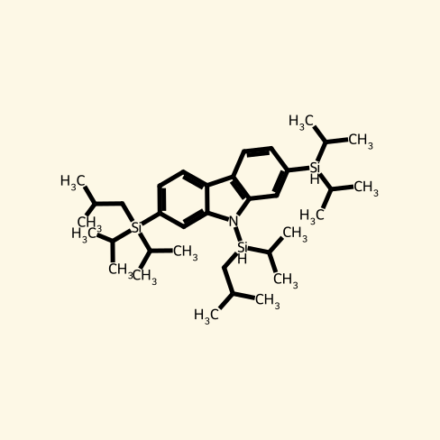 CC(C)C[SiH](C(C)C)n1c2cc([SiH](C(C)C)C(C)C)ccc2c2ccc([Si](CC(C)C)(C(C)C)C(C)C)cc21